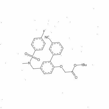 CN(Cc1ccc(OCC(=O)OC(C)(C)C)c(-c2cccc(C#N)c2)c1)S(=O)(=O)c1ccc(F)cc1